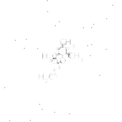 C=CCCC(=O)Oc1c(C)cc(C)cc1C